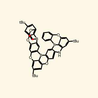 CC(C)(C)c1cc2c3c(c1)Oc1ccccc1B3c1cc3c(cc1N2)Oc1cc(C(C)(C)C)cc2c1B3c1cc3c(cc1O2)Oc1cc(C(C)(C)C)cc2c1B3c1ccccc1O2